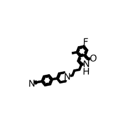 Cc1cc(F)cc2c(=O)[nH]c(CCCN3CC=C(c4ccc(C#N)cc4)CC3)cc12